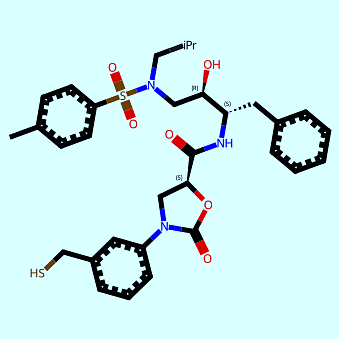 Cc1ccc(S(=O)(=O)N(CC(C)C)C[C@@H](O)[C@H](Cc2ccccc2)NC(=O)[C@@H]2CN(c3cccc(CS)c3)C(=O)O2)cc1